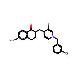 COc1ccc2c(c1)CCC(CC1C=CN(Cc3cccc(C(F)(F)F)c3)C=C1C(C)=O)C2=O